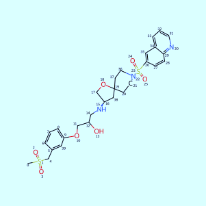 CS(=O)(=O)Cc1cccc(OCC(O)CN[C@H]2COC3(CCN(S(=O)(=O)c4ccc5ncccc5c4)CC3)C2)c1